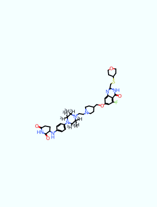 [2H]C1([2H])N(CCN2CCC(COc3cc(F)c4c(=O)[nH]c(CSC5CCOCC5)nc4c3)CC2)C([2H])([2H])C([2H])([2H])N(c2ccc(NC3CCC(=O)NC3=O)cc2)C1([2H])[2H]